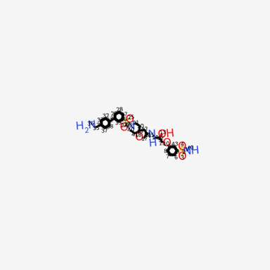 CNS(=O)(=O)c1cccc(OCC(O)CN[C@@H]2COC3(CCN(S(=O)(=O)c4cccc(-c5ccc(CN)cc5)c4)CC3)C2)c1